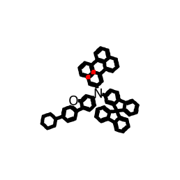 c1ccc(-c2cccc3cccc(-c4cccc(N(c5ccc6c(c5)C5(c7ccccc7-c7ccccc75)c5ccccc5-6)c5ccc6c(c5)oc5cc(C7CCCCC7)ccc56)c4)c23)cc1